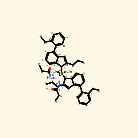 CCCC1=Cc2c(-c3ccccc3CC)cccc2[CH]1[Hf]([Cl])([Cl])([B](NC(=O)CC)NC(=O)CC)[CH]1C(CCC)=Cc2c(-c3ccccc3CC)cccc21